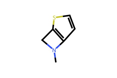 CN1Cc2sccc21